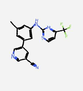 Cc1cc(Nc2nccc(C(F)(F)F)n2)cc(-c2cncc(C#N)c2)c1